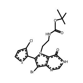 CC(C)(C)OC(=O)NCCn1c(-c2sccc2Cl)c(Br)c2nc[nH]c(=O)c21